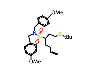 C=CCCC(CCSC(C)(C)C)S(=O)(=O)N(Cc1ccc(OC)cc1)Cc1ccc(OC)cc1